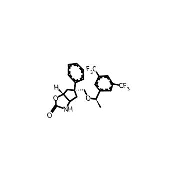 C[C@@H](OC[C@]1(c2ccccc2)CC2NC(=O)O[C@@H]2C1)c1cc(C(F)(F)F)cc(C(F)(F)F)c1